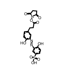 O=C(CCc1ccc(O)c(N=Nc2cc(S(=O)(=O)O)ccc2O)c1)ON1C(=O)CCC1=O